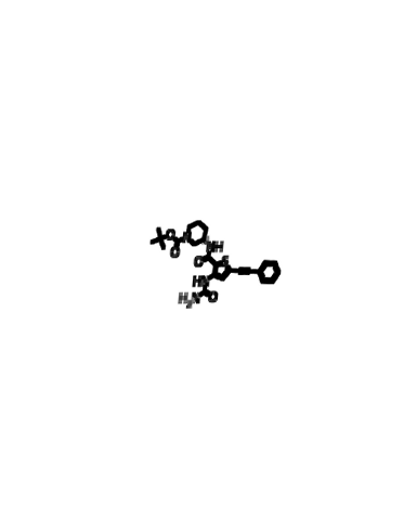 CC(C)(C)OC(=O)N1CCC[C@H](NC(=O)c2sc(C#Cc3ccccc3)cc2NC(N)=O)C1